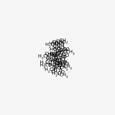 C=C(C)C(=O)OCC(O)COC(=O)C(C)(C)CC(C)(CC(C)(CC(C)(CC(C)(CC(C)(CC(C)(CC(C)(CC(C)(C)C(=O)OCC(O)COC(=O)C(=C)C)C(=O)OCC(O)COC(=O)C(=C)C)C(=O)OCC(O)COC(=O)C(=C)C)C(=O)OCC(O)COC(=O)C(=C)C)C(=O)OCC(O)COC(=O)C(=C)C)C(=O)OCC(O)COC(=O)C(=C)C)C(=O)OCC(O)COC(=O)C(=C)C)C(=O)OCC(O)COC(=O)C(=C)C